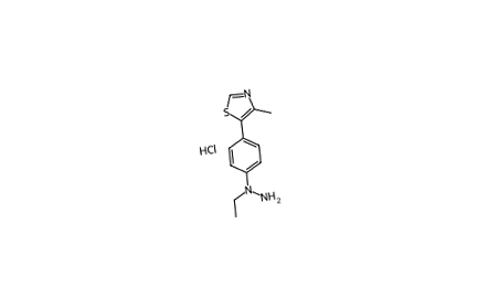 CCN(N)c1ccc(-c2scnc2C)cc1.Cl